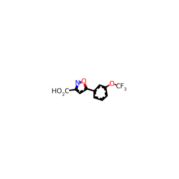 O=C(O)c1cc(-c2cccc(OC(F)(F)F)c2)on1